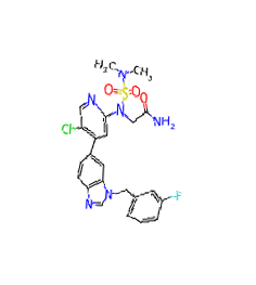 CN(C)S(=O)(=O)N(CC(N)=O)c1cc(-c2ccc3ncn(Cc4cccc(F)c4)c3c2)c(Cl)cn1